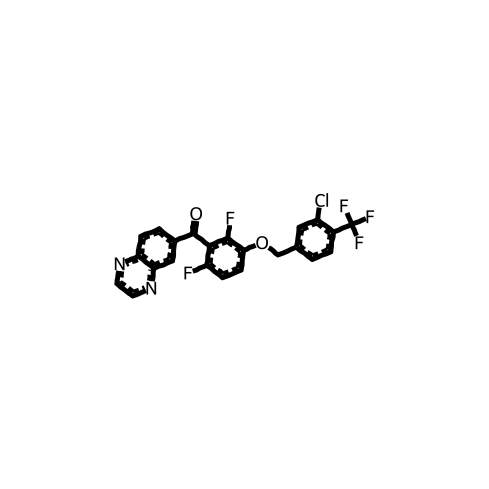 O=C(c1ccc2nccnc2c1)c1c(F)ccc(OCc2ccc(C(F)(F)F)c(Cl)c2)c1F